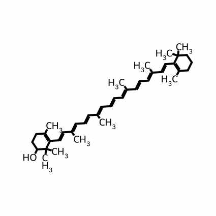 CC1=C(/C=C/C(C)=C/C=C/C(C)=C/C=C/C=C(C)/C=C/C=C(C)/C=C/C2=C(C)CCC(O)C2(C)C)C(C)(C)CCC1